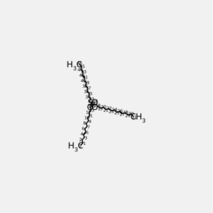 CCCC/C=C/CCCCCCCCOP(=O)(OCCCCCCCC/C=C/CCCC)SCCCCCCCC/C=C/CCCC